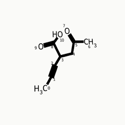 CC#CC(CC(C)=O)C(=O)O